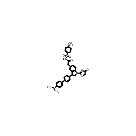 CN(C)c1ccc(-c2ccc(C3CN(C4=NC(=O)CS4)c4ccc(CC(=O)NS(=O)(=O)c5ccc(C(F)(F)F)cc5)cc43)cc2)cc1